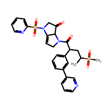 CC(CC(C(=O)N1CC=C2C1C(=O)CN2S(=O)(=O)c1ccccn1)c1cccc(-c2cccnc2)c1)S(C)(=O)=O